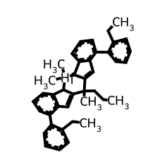 CCCC1(C)C2=Cc3c(-c4ccccc4CC)cccc3[CH]2[Hf]([CH3])([CH3])[CH]2C1=Cc1c(-c3ccccc3CC)cccc12